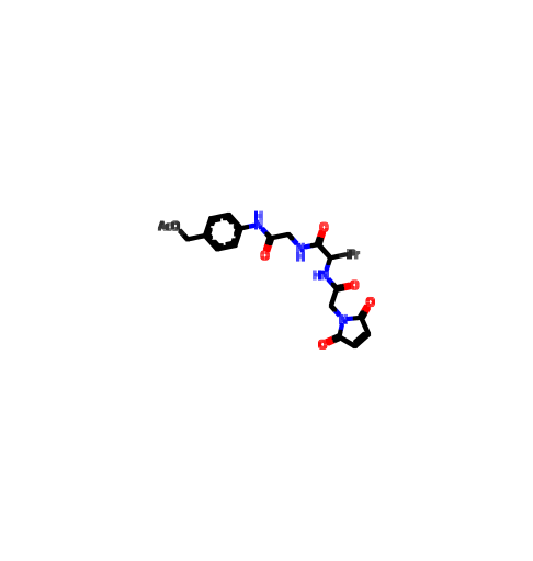 CC(=O)OCc1ccc(NC(=O)CNC(=O)C(NC(=O)CN2C(=O)C=CC2=O)C(C)C)cc1